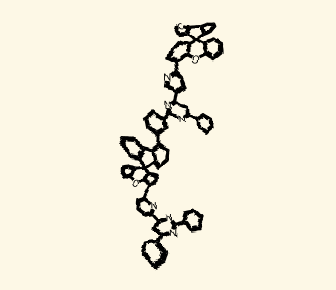 c1ccc(-c2cc(-c3ccc(-c4cccc5c4Oc4ccccc4C54c5ccccc5-c5ccccc54)nc3)nc(-c3cccc(-c4cccc5c4-c4ccccc4C54c5ccccc5Oc5c(-c6cccc(-c7cc(-c8ccccc8)nc(-c8ccccc8)n7)n6)cccc54)c3)n2)cc1